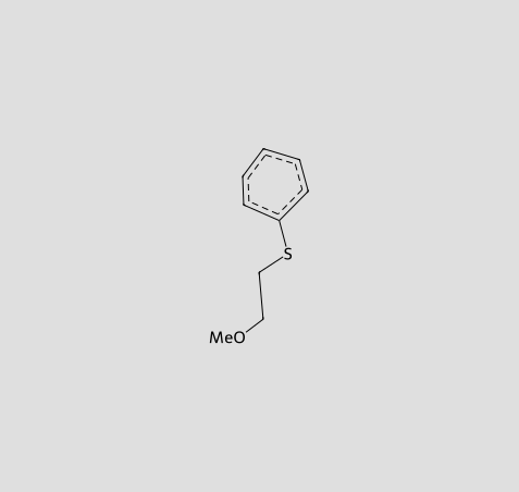 COCCSc1ccccc1